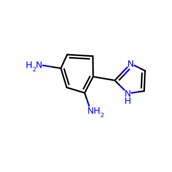 Nc1ccc(-c2ncc[nH]2)c(N)c1